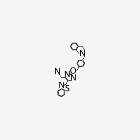 N#CCc1nc(OCc2ccc(CN3CCc4ccccc4C3)cc2)ncc1-c1nc2ccccc2s1